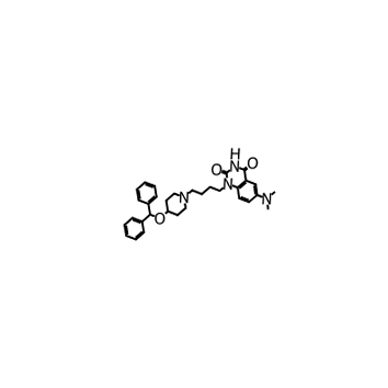 CN(C)c1ccc2c(c1)c(=O)[nH]c(=O)n2CCCCN1CCC(OC(c2ccccc2)c2ccccc2)CC1